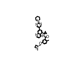 Cc1ccc(OC[C@@H]2CCN2C)cc1C(=O)NC1(c2cc(-c3cnc(N4CCCCC4)nc3)cc3ncccc23)CC1